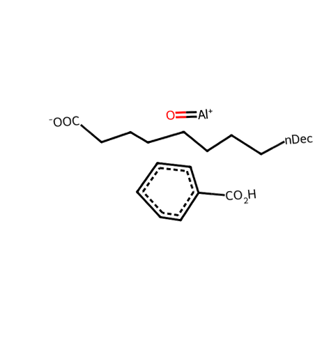 CCCCCCCCCCCCCCCCCC(=O)[O-].O=C(O)c1ccccc1.[O]=[Al+]